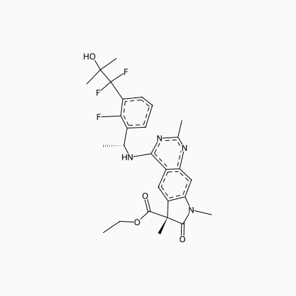 CCOC(=O)[C@@]1(C)C(=O)N(C)c2cc3nc(C)nc(N[C@H](C)c4cccc(C(F)(F)C(C)(C)O)c4F)c3cc21